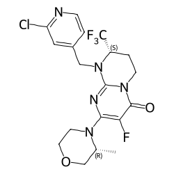 C[C@@H]1COCCN1c1nc2n(c(=O)c1F)CC[C@@H](C(F)(F)F)N2Cc1ccnc(Cl)c1